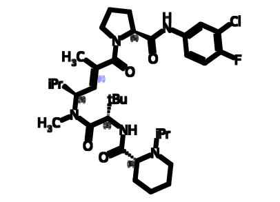 C/C(=C\[C@H](C(C)C)N(C)C(=O)[C@@H](NC(=O)[C@H]1CCCCN1C(C)C)C(C)(C)C)C(=O)N1CCC[C@H]1C(=O)Nc1ccc(F)c(Cl)c1